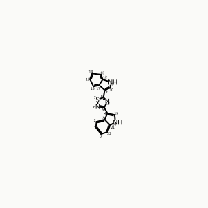 c1ccc2c(-c3nsc(-c4c[nH]c5ccccc45)n3)c[nH]c2c1